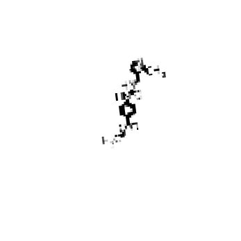 CCOC(=O)c1ccc(NC(=O)NCc2ccnn2C)cc1